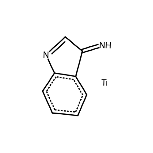 N=C1C=Nc2ccccc21.[Ti]